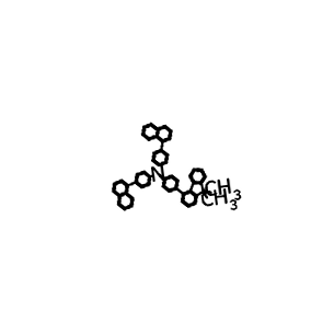 CC1(C)c2ccccc2-c2c(-c3ccc(N(c4ccc(-c5cccc6ccccc56)cc4)c4ccc(-c5cccc6ccccc56)cc4)cc3)cccc21